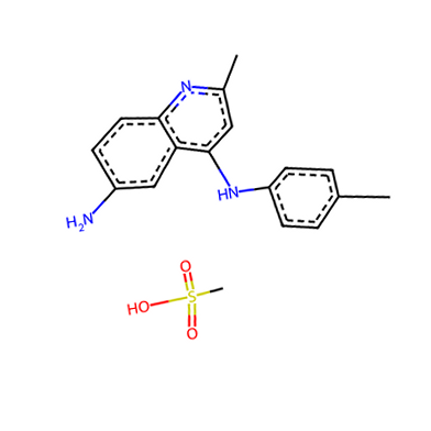 CS(=O)(=O)O.Cc1ccc(Nc2cc(C)nc3ccc(N)cc23)cc1